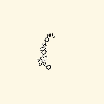 Nc1ccc(-c2cn3c(n2)sc2nc(NCC4(NC(=O)OCc5ccccc5)CC4)ccc23)cc1